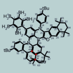 Bc1c(B)c(B)c(-c2cc3c4c(c2)N(c2ccc(C(C)(C)C)cc2)c2c(oc5cc6c(cc25)C(C)(C)CCC6(C)C)B4c2cc4c(cc2N3c2ccc(C(C)(C)C)cc2-c2ccc(C(C)(C)C)cc2)C(C)(C)CCC4(C)C)c(B)c1B